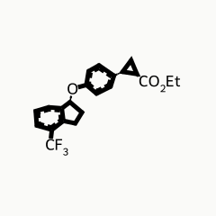 CCOC(=O)[C@@H]1C[C@H]1c1ccc(O[C@@H]2CCc3c2cccc3C(F)(F)F)cc1